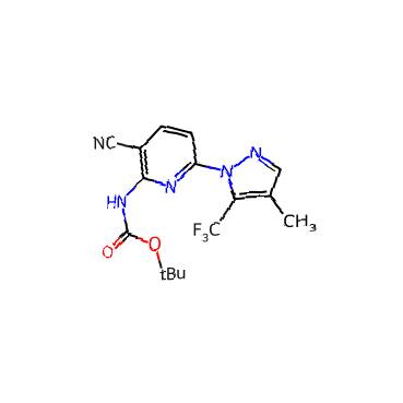 Cc1cnn(-c2ccc(C#N)c(NC(=O)OC(C)(C)C)n2)c1C(F)(F)F